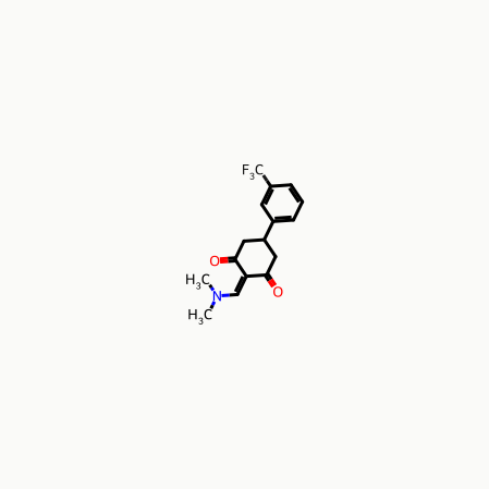 CN(C)C=C1C(=O)CC(c2cccc(C(F)(F)F)c2)CC1=O